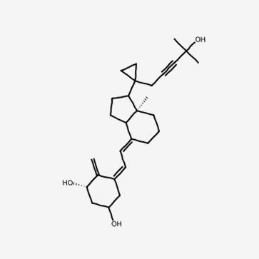 C=C1/C(=C\C=C2/CCC[C@@]3(C)C2CCC3C2(CC#CC(C)(C)O)CC2)CC(O)C[C@@H]1O